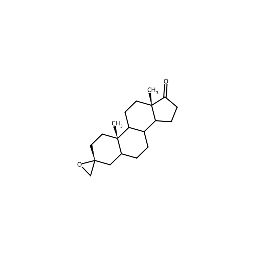 C[C@]12CC[C@]3(CO3)CC1CCC1C2CC[C@]2(C)C(=O)CCC12